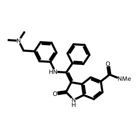 CNC(=O)c1ccc2c(c1)/C(=C(/Nc1cccc(CN(C)C)c1)c1ccccc1)C(=O)N2